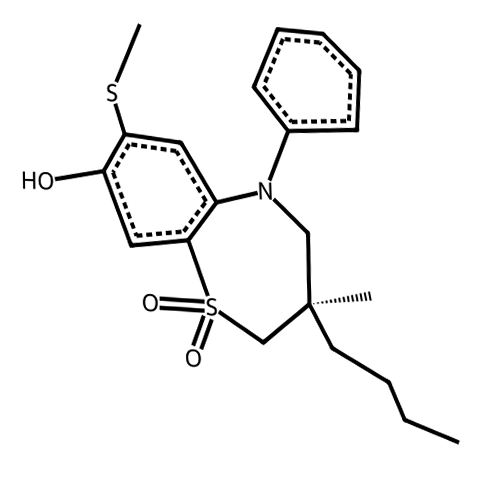 CCCC[C@]1(C)CN(c2ccccc2)c2cc(SC)c(O)cc2S(=O)(=O)C1